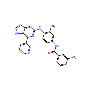 Cc1cc(NC(=O)c2cccc(C(F)(F)F)c2)ccc1Nc1nc(-c2cccnc2)c2[nH]ccc2n1